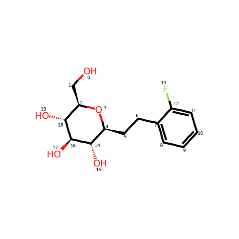 OC[C@H]1O[C@@H](CCc2ccccc2F)[C@H](O)[C@@H](O)[C@@H]1O